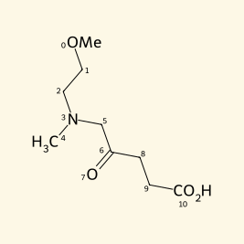 COCCN(C)CC(=O)CCC(=O)O